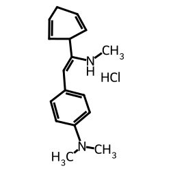 CNC(=Cc1ccc(N(C)C)cc1)C1C=CCC=C1.Cl